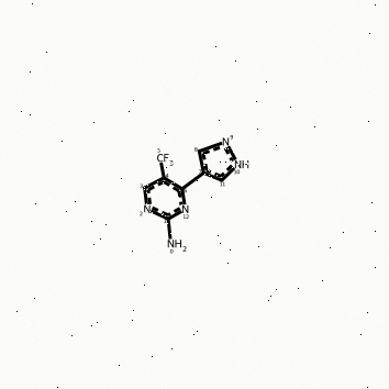 Nc1ncc(C(F)(F)F)c(-c2cn[nH]c2)n1